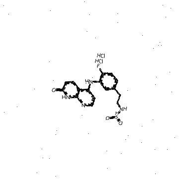 Cl.Cl.O=c1ccc2c(Nc3cc(CCN[SH](=O)=O)ccc3F)ccnc2[nH]1